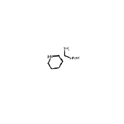 C1CCNCC1.CCCCCCN